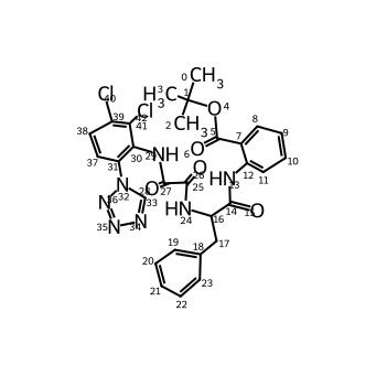 CC(C)(C)OC(=O)c1ccccc1NC(=O)C(Cc1ccccc1)NC(=O)C(=O)Nc1c(-n2cnnn2)ccc(Cl)c1Cl